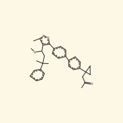 COC(CC(C)(C)c1ccccc1)c1c(C)noc1-c1ccc(-c2ccc(C3(CC(C)=O)CC3)cc2)cc1